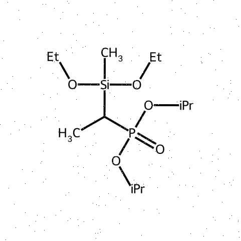 CCO[Si](C)(OCC)C(C)P(=O)(OC(C)C)OC(C)C